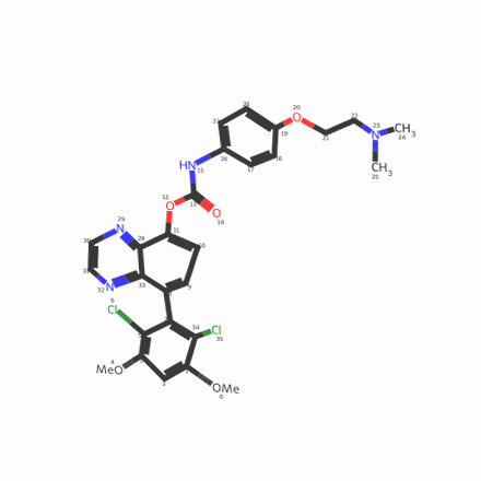 COc1cc(OC)c(Cl)c(-c2ccc(OC(=O)Nc3ccc(OCCN(C)C)cc3)c3nccnc23)c1Cl